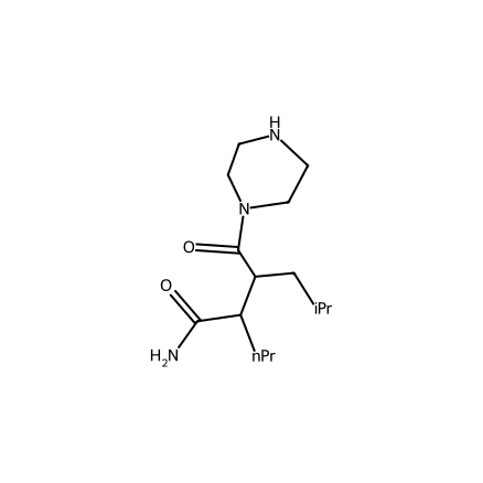 CCCC(C(N)=O)C(CC(C)C)C(=O)N1CCNCC1